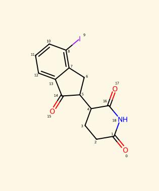 O=C1CCC(C2Cc3c(I)cccc3C2=O)C(=O)N1